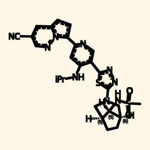 CC(C)Nc1cc(-c2ccc3cc(C#N)cnn23)ncc1-c1nnc(N2C[C@H]3CC[C@@H](C2)[C@@H]3NS(C)(=O)=O)s1